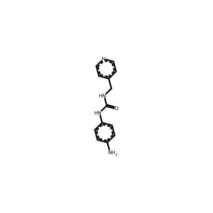 Nc1ccc(NC(=O)NCc2ccncc2)cc1